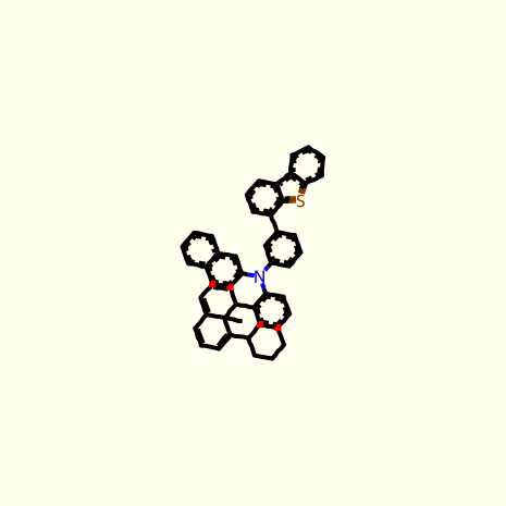 CC12C(=CC=CC1c1ccccc1N(c1cccc(-c3cccc4c3sc3ccccc34)c1)c1ccc3ccccc3c1)C=CC=C2C1CCCCC1